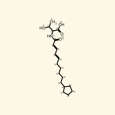 CC(O)C(NC(=O)/C=C/C=C/CCCCCC1CCCC1)C(=O)O